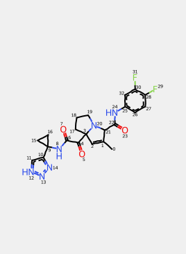 CC1=CC2(C(=O)C(=O)NC3(c4c[nH]nn4)CC3)CCCN2C1C(=O)Nc1ccc(F)c(F)c1